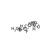 Cc1cnc(C(=O)NC2COCC[C@@H]2O)cc1Cc1ccc(-c2ccn(C)n2)cc1F